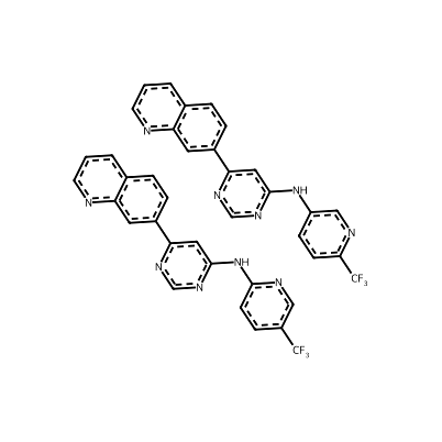 FC(F)(F)c1ccc(Nc2cc(-c3ccc4cccnc4c3)ncn2)cn1.FC(F)(F)c1ccc(Nc2cc(-c3ccc4cccnc4c3)ncn2)nc1